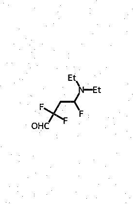 CCN(CC)C(F)CC(F)(F)C=O